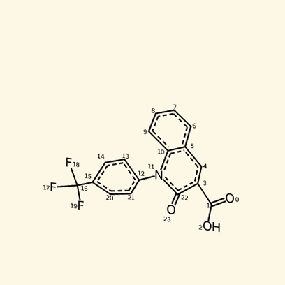 O=C(O)c1cc2ccccc2n(-c2ccc(C(F)(F)F)cc2)c1=O